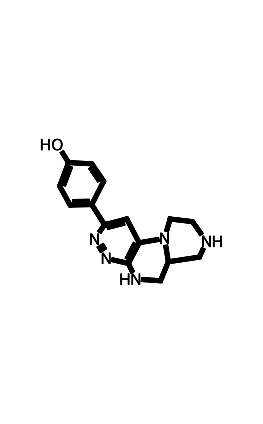 Oc1ccc(-c2cc3c(nn2)NCC2CNCCN32)cc1